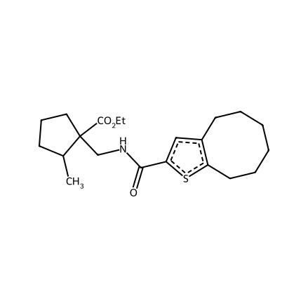 CCOC(=O)C1(CNC(=O)c2cc3c(s2)CCCCCC3)CCCC1C